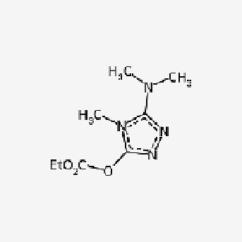 CCOC(=O)Oc1nnc(N(C)C)n1C